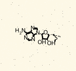 C[S+](C)C[C@H]1O[C@@H](n2cnc3c(N)ncnc32)[C@H](O)[C@@H]1O